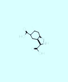 C[C@@H]1Cc2n[nH]c(C(=O)O)c2CC1C(=O)O